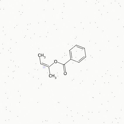 C/C=C(/C)OC(=O)c1ccccc1